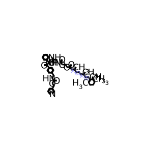 CC1=C(/C=C/C(C)=C/C=C/C(C)=C/C(=O)OCOC(=O)NCC(=O)Nc2ccccc2NC(=O)c2ccc(CNC(=O)OCc3cccnc3)cc2)C(C)(C)CCC1